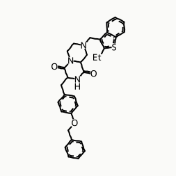 CCc1sc2ccccc2c1CN1CCN2C(=O)C(Cc3ccc(OCc4ccccc4)cc3)NC(=O)C2C1